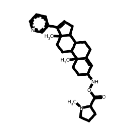 CN1CCCC1C(=O)ONC1C=C2CCC3C(CCC4(C)C(c5cccnc5)=CCC34)C2(C)CC1